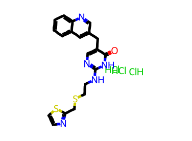 Cl.Cl.Cl.O=c1[nH]c(NCCSCc2nccs2)ncc1Cc1cnc2ccccc2c1